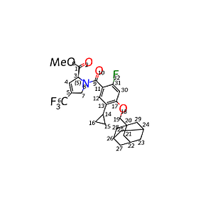 COC(=O)[C@@H]1C=C(C(F)(F)F)CN1C(=O)c1cc(C2CC2)c(OCC23CC4CC(CC(C4)C2)C3)cc1F